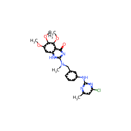 COc1cc2[nH]c(N(C)Cc3cccc(Nc4nc(C)cc(Cl)n4)c3)nc(=O)c2c(OC)c1OC